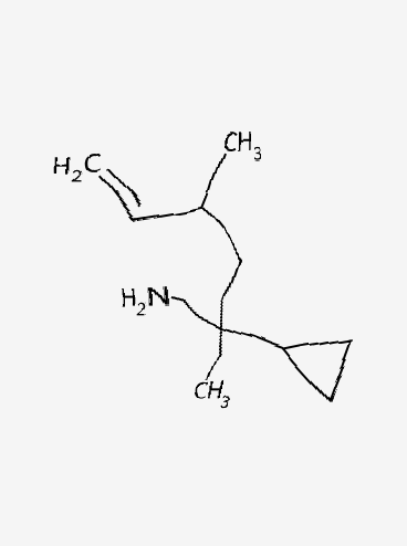 C=CC(C)CC(C)(N)C1CC1